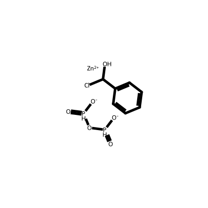 O=[PH]([O-])O[PH](=O)[O-].OC(Cl)c1ccccc1.[Zn+2]